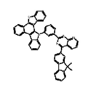 CC1(C)c2ccccc2-c2ccc(-c3nc(-c4cccc(-n5c6ccccc6c6c7ccccc7c7sc8ccccc8c7c65)c4)nc4ncccc34)cc21